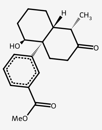 COC(=O)c1cccc([C@@]23CCC(=O)[C@@H](C)[C@H]2CCC[C@@H]3O)c1